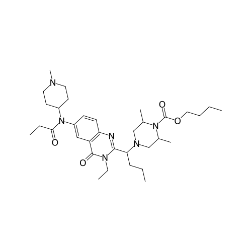 CCCCOC(=O)N1C(C)CN(C(CCC)c2nc3ccc(N(C(=O)CC)C4CCN(C)CC4)cc3c(=O)n2CC)CC1C